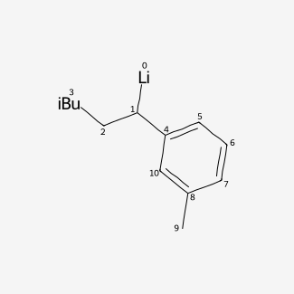 [Li][CH](CC(C)CC)c1cccc(C)c1